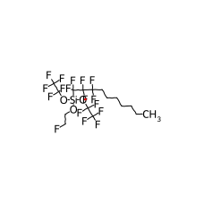 CCCCCCCC(F)(F)C(F)(F)C(F)(F)[Si](OCCF)(OC(F)(F)C(F)(F)F)OC(F)(F)C(F)(F)F